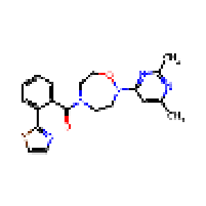 Cc1cc(N2CCN(C(=O)c3ccccc3-c3nccs3)CCO2)nc(C)n1